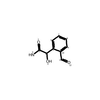 [NH]C(=O)C(O)c1ccccc1C=O